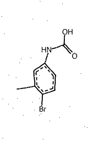 Cc1cc(NC(=O)O)ccc1Br